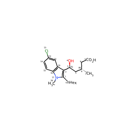 CCCCCCc1c([C@@H](O)C[C@@H](C)CC(=O)O)c2cc(Cl)ccc2n1C